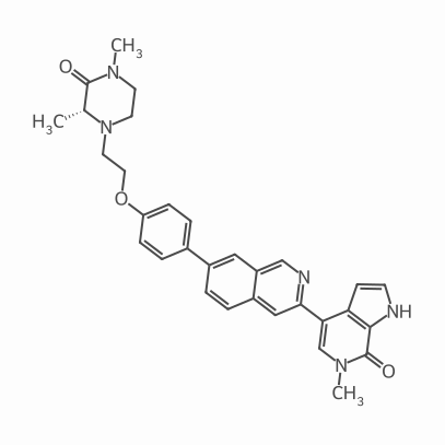 C[C@@H]1C(=O)N(C)CCN1CCOc1ccc(-c2ccc3cc(-c4cn(C)c(=O)c5[nH]ccc45)ncc3c2)cc1